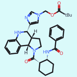 CC(C)(C)C(=O)OCn1cnc([C@H]2Nc3ccccc3[C@@H]3[C@H]2CCN3C(=O)[C@H]2CCCC[C@H]2NC(=O)c2ccccc2)c1